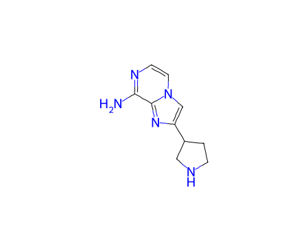 Nc1nccn2cc(C3CCNC3)nc12